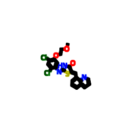 COCCOc1cc(N=C2NC(=O)C(=Cc3cccc4cccnc34)S2)c(Cl)cc1Cl